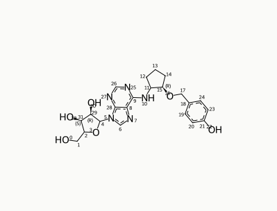 OCC1OC(n2cnc3c(NC4CCC[C@H]4OCc4ccc(O)cc4)ncnc32)[C@H](O)[C@@H]1O